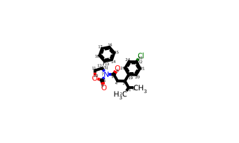 CC(C)C(CC(=O)N1C(=O)OC[C@@H]1c1ccccc1)c1ccc(Cl)cc1